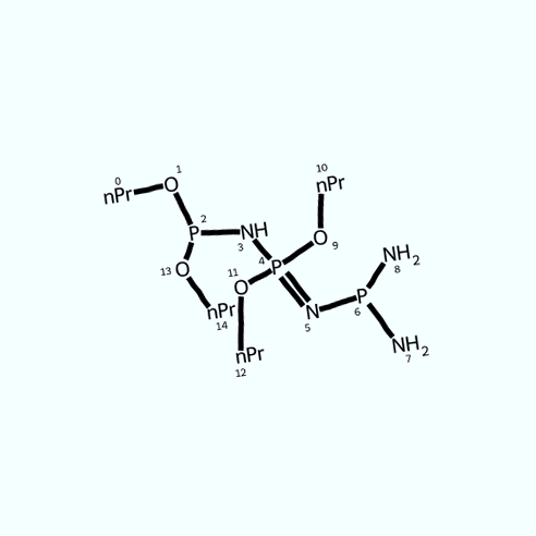 CCCOP(NP(=NP(N)N)(OCCC)OCCC)OCCC